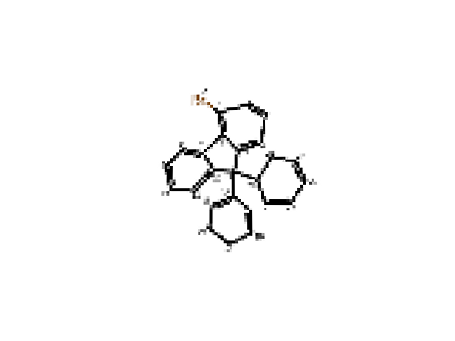 Brc1cccc2c1-c1ccccc1C2(C1=CCCC=C1)C1C=CC=CC1